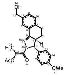 COc1ccc([C@@H]2[C@@H]3CCc4ccc(CO)cc4C3=NN2C(=O)[C@H](C)OC(C)=O)cc1